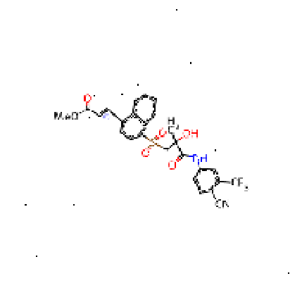 COC(=O)/C=C/c1ccc(S(=O)(=O)CC(C)(O)C(=O)Nc2ccc(C#N)c(C(F)(F)F)c2)c2ccccc12